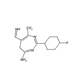 CC1=C(C=N)CC(N)=NC(C2CCC(F)CC2)=N1